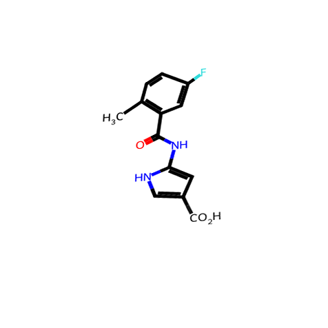 Cc1ccc(F)cc1C(=O)Nc1cc(C(=O)O)c[nH]1